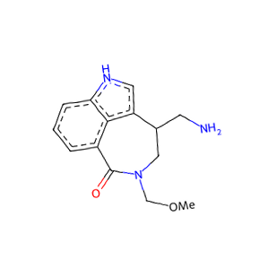 COCN1CC(CN)c2c[nH]c3cccc(c23)C1=O